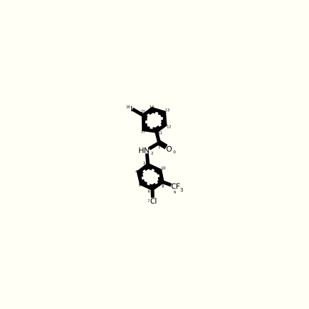 O=C(Nc1ccc(Cl)c(C(F)(F)F)c1)c1cccc(I)c1